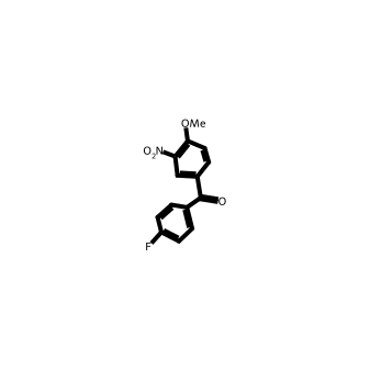 COc1ccc(C(=O)c2ccc(F)cc2)cc1[N+](=O)[O-]